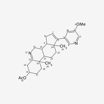 COc1cncc(C2=CCC3C4CN=C5CC(OC(C)=O)CCC5(C)C4CCC23C)c1